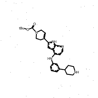 CC(C)(C)OC(=O)N1CC=C(c2cc3c(Nc4cccc(C5CCNCC5)c4)ccnc3[nH]2)CC1